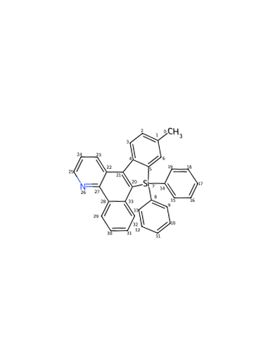 Cc1ccc2c(c1)[Si](c1ccccc1)(c1ccccc1)c1c-2c2cccnc2c2ccccc12